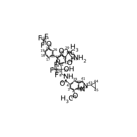 COc1cc(C(=O)NCC(O)(c2cc3c(c(-c4cccc(OC(F)(F)F)c4)n2)OC[C@]3(C)C(N)=O)C(F)(F)F)cc2cn(C3CC3)nc12